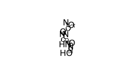 CC(C)Oc1ccc(-c2nc(-c3cccc4c3CC[C@H]4NC(=O)N3CC[C@H](O)C3)no2)cc1C#N